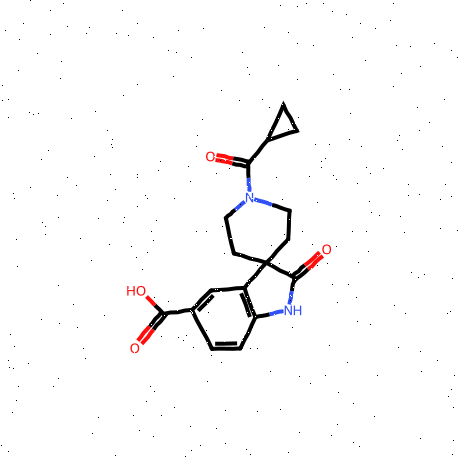 O=C(O)c1ccc2c(c1)C1(CCN(C(=O)C3CC3)CC1)C(=O)N2